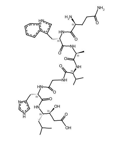 CC(C)C[C@H](NC(=O)[C@H](Cc1c[nH]cn1)NC(=O)CNC(=O)[C@@H](NC(=O)[C@H](C)NC(=O)[C@H](Cc1c[nH]c2ccccc12)NC(=O)[C@@H](N)CCC(N)=O)C(C)C)[C@@H](O)CC(=O)O